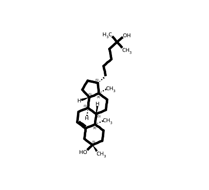 CC(C)(O)CCCC[C@H]1CC[C@H]2[C@@H]3CC=C4C[C@@](C)(O)CC[C@]4(C)[C@H]3CC[C@]12C